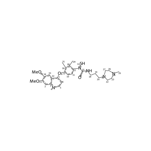 COc1cc2nccc(Oc3ccc(N(S)C(=O)NCCCN4CCN(C)CC4)c(C)c3C)c2cc1OC